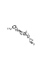 C=C/C=C(\C=C/N)C1CSC(NC(=O)NCc2cccc(OCC)c2)=N1